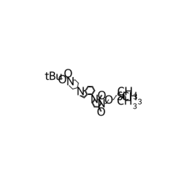 CC(C)(C)OC(=O)N1CCC(n2ccc3c(-n4ccc(=O)n(COCC[Si](C)(C)C)c4=O)cccc32)CC1